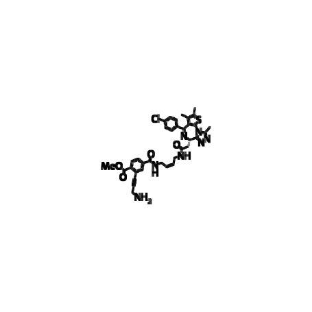 COC(=O)c1ccc(C(=O)NC/C=C\CNC(=O)C[C@@H]2N=C(c3ccc(Cl)cc3)c3c(sc(C)c3C)-n3c(C)nnc32)cc1C#CCN